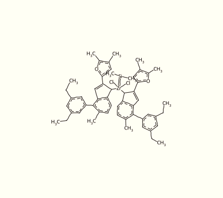 CCc1cc(CC)cc(-c2c(C)ccc3c2C=C(c2cc(C)c(C)o2)[CH]3[Zr]([Cl])([Cl])([CH]2C(c3cc(C)c(C)o3)=Cc3c2ccc(C)c3-c2cc(CC)cc(CC)c2)=[Si](C)C)c1